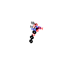 CC(C)(C)OC(=O)N[C@@](C)(CO)C(=O)Nc1ccc(OCc2ccc(-c3ccccc3)cc2)cc1